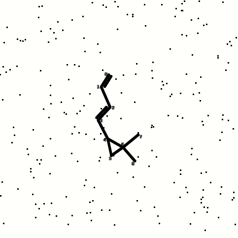 C=CC=CC1[CH]C1(C)C